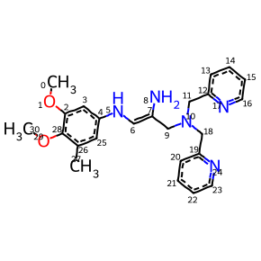 COc1cc(N/C=C(\N)CN(Cc2ccccn2)Cc2ccccn2)cc(C)c1OC